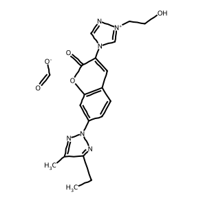 CCc1nn(-c2ccc3cc(-n4cn[n+](CCO)c4)c(=O)oc3c2)nc1C.O=C[O-]